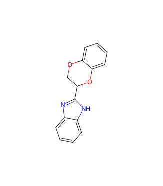 c1ccc2c(c1)OCC(c1nc3ccccc3[nH]1)O2